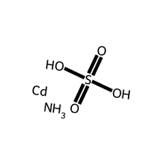 N.O=S(=O)(O)O.[Cd]